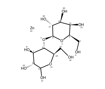 OC[C@H]1O[C@@H](O[C@H]2[C@H](O)[C@@H](O)C(O)O[C@@H]2CO)[C@H](O)[C@@H](O)[C@H]1O.[Zn]